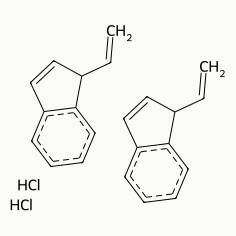 C=CC1C=Cc2ccccc21.C=CC1C=Cc2ccccc21.Cl.Cl